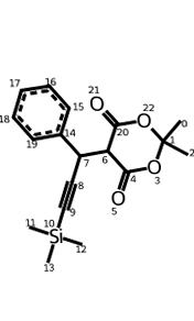 CC1(C)OC(=O)C(C(C#C[Si](C)(C)C)c2ccccc2)C(=O)O1